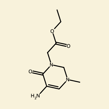 CCOC(=O)CN1CN(C)C=C(N)C1=O